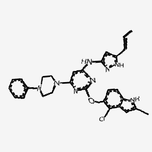 C/C=C/c1cc(Nc2cc(N3CCN(c4ccccc4)CC3)nc(Oc3ccc4[nH]c(C)cc4c3Cl)n2)n[nH]1